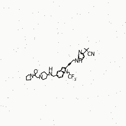 CC(C)(C#N)c1ccc(NCC#Cc2cc3cc(CNC4CCN(CC(=O)N5CCCC5)CC4)ccc3n2CC(F)(F)F)cn1